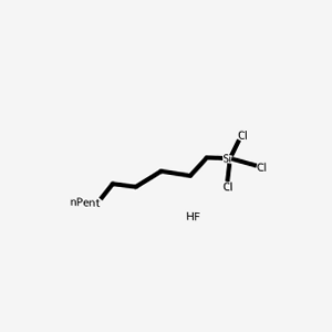 CCCCCCCCCC[Si](Cl)(Cl)Cl.F